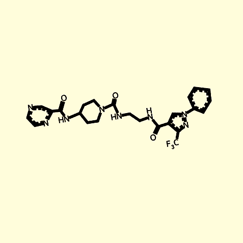 O=C(NC1CCN(C(=O)NCCNC(=O)c2cn(-c3ccccc3)nc2C(F)(F)F)CC1)c1cnccn1